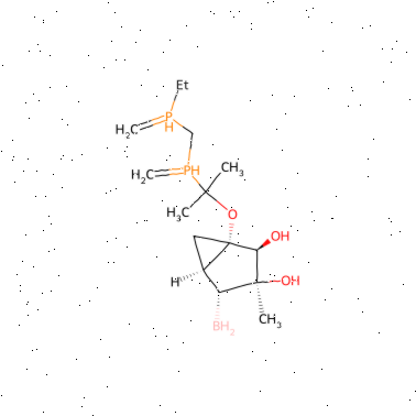 B[C@@H]1[C@H]2C[C@@]2(OC(C)(C)[PH](=C)C[PH](=C)CC)[C@@H](O)[C@@]1(C)O